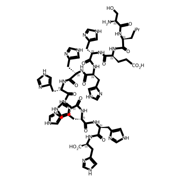 CC(C)C[C@H](NC(=O)[C@@H](N)CO)C(=O)N[C@@H](CCC(=O)O)C(=O)N[C@@H](Cc1c[nH]cn1)C(=O)N[C@@H](Cc1c[nH]cn1)C(=O)N[C@@H](Cc1c[nH]cn1)C(=O)N[C@@H](Cc1c[nH]cn1)C(=O)N[C@@H](Cc1c[nH]cn1)C(=O)N[C@@H](Cc1c[nH]cn1)C(=O)N[C@@H](Cc1c[nH]cn1)C(=O)N[C@@H](Cc1c[nH]cn1)C(=O)O